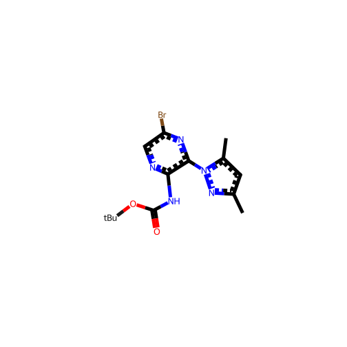 Cc1cc(C)n(-c2nc(Br)cnc2NC(=O)OC(C)(C)C)n1